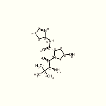 CC(C)(C)[C@H](N)C(=O)N1C[C@H](O)C[C@H]1C(=O)NC1CSC=N1